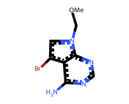 COCn1cc(Br)c2c(N)ncnc21